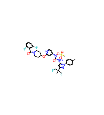 Cc1ccc(-n2nc(C(C)(CF)CF)cc2NC(=O)N(OS(C)(=O)=O)c2ccnc(OC3CCN(C(=O)c4c(F)cccc4F)CC3)c2)cc1